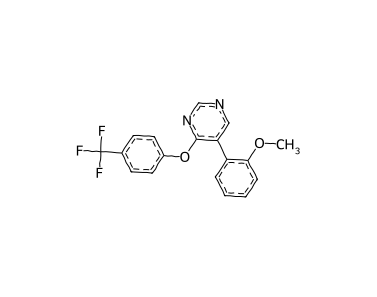 COc1ccccc1-c1cncnc1Oc1ccc(C(F)(F)F)cc1